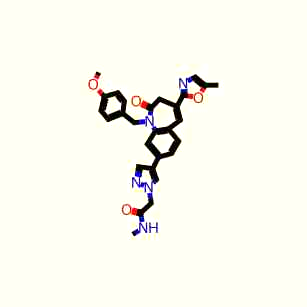 CNC(=O)Cn1cc(-c2ccc3c(c2)N(Cc2ccc(OC)cc2)C(=O)CC(c2ncc(C)o2)=C3)cn1